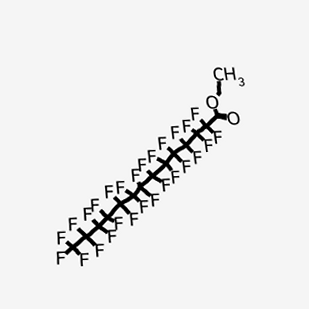 CCOC(=O)C(F)(F)C(F)(F)C(F)(F)C(F)(F)C(F)(F)C(F)(F)C(F)(F)C(F)(F)C(F)(F)C(F)(F)C(F)(F)C(F)(F)C(F)(F)F